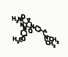 CCN(CC)CC1(c2ccc(N3CC4(CC4)c4c(C(N)=O)nn(-c5ccc(OC)cc5)c4C3=O)cc2)CC1